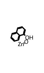 Oc1cccc2ccccc12.[O]=[Zn]